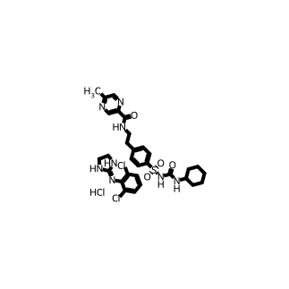 Cc1cnc(C(=O)NCCc2ccc(S(=O)(=O)NC(=O)NC3CCCCC3)cc2)cn1.Cl.Clc1cccc(Cl)c1N=C1NCCN1